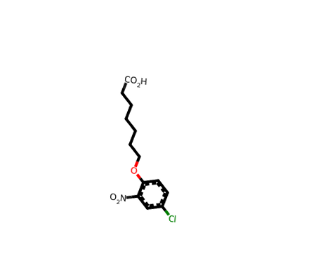 O=C(O)CCCCCCOc1ccc(Cl)cc1[N+](=O)[O-]